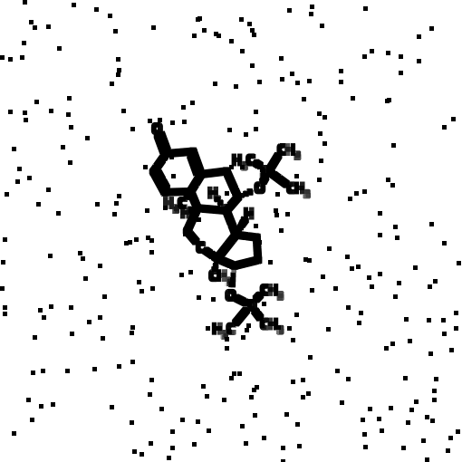 C[C@]12CC[C@H]3[C@@H]([C@@H](O[Si](C)(C)C)CC4=CC(=O)C=C[C@@]43C)[C@@H]1CC[C@@H]2O[Si](C)(C)C